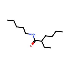 CCCCCNC(=O)C(CC)CCCC